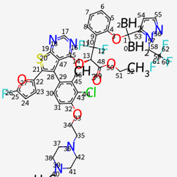 BC(B)(Oc1ccccc1C(F)(F)[C@H](Oc1ncnc2sc(-c3ccc(F)o3)c(-c3ccc(OCCN4CCN(C)CC4)c(Cl)c3C)c12)C(=O)OCC)c1ccnn1CC(F)(F)F